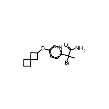 CC(Br)(C(N)=O)c1ccc(OC2CC3(CCC3)C2)cn1